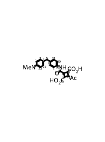 CNc1ccc(Cc2ccc(NC(=O)C3C(C(=O)O)C(C(C)=O)C3C(=O)O)cc2)cc1